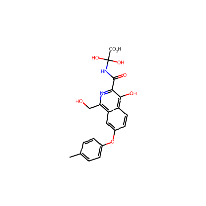 Cc1ccc(Oc2ccc3c(O)c(C(=O)NC(O)(O)C(=O)O)nc(CO)c3c2)cc1